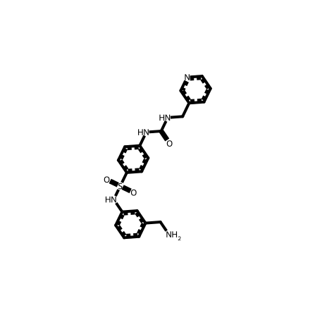 NCc1cccc(NS(=O)(=O)c2ccc(NC(=O)NCc3cccnc3)cc2)c1